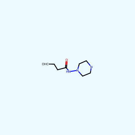 O=CCCC(=O)NN1CC[N]CC1